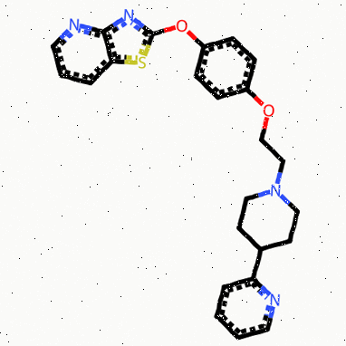 c1ccc(C2CCN(CCOc3ccc(Oc4nc5ncccc5s4)cc3)CC2)nc1